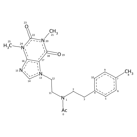 CC(=O)N(CCc1ccc(C)cc1)CCn1cnc2c1c(=O)n(C)c(=O)n2C